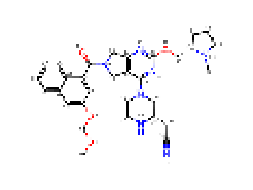 COCOc1cc(C(=O)N2Cc3nc(OC[C@@H]4CCCN4C)nc(N4CCN[C@@H](CC#N)C4)c3C2)c2ccccc2c1